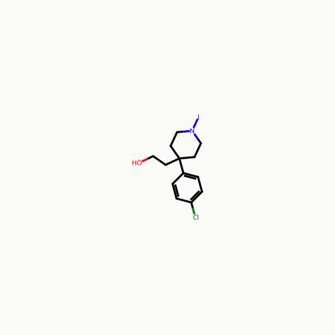 OCCC1(c2ccc(Cl)cc2)CCN(I)CC1